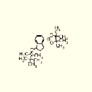 CC1(C)OB(c2cccc3c2CCC3O[Si](C)(C)C(C)(C)C)OC1(C)C